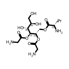 CC(C)[C@H](N)C(=O)OC[C@H](OC(=O)CN)[C@@H](OC(=O)CN)[C@H](O)[C@H](O)CO